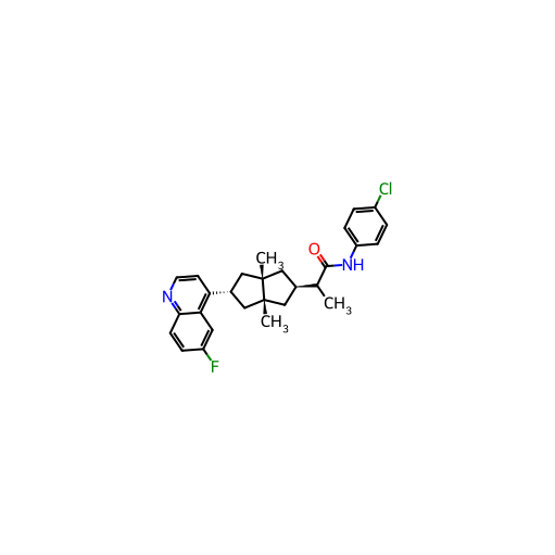 CC(C(=O)Nc1ccc(Cl)cc1)[C@H]1C[C@]2(C)C[C@H](c3ccnc4ccc(F)cc34)C[C@]2(C)C1